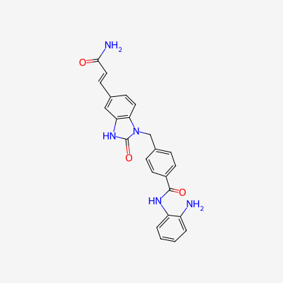 NC(=O)C=Cc1ccc2c(c1)[nH]c(=O)n2Cc1ccc(C(=O)Nc2ccccc2N)cc1